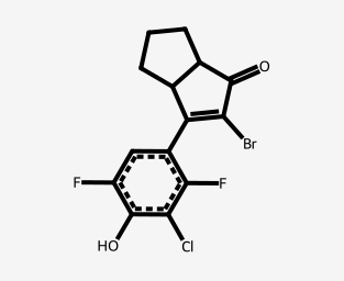 O=C1C(Br)=C(c2cc(F)c(O)c(Cl)c2F)C2CCCC12